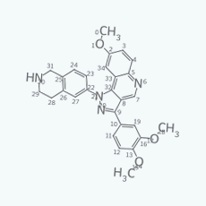 COc1ccc2ncc3c(-c4ccc(OC)c(OC)c4)nn(-c4ccc5c(c4)CCNC5)c3c2c1